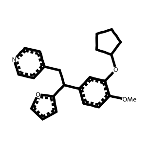 COc1ccc(C(Cc2ccncc2)c2ccco2)cc1OC1CCCC1